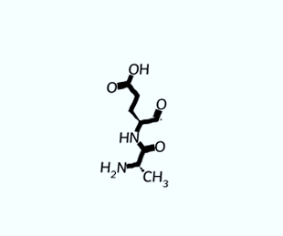 C[C@H](N)C(=O)N[C@H]([C]=O)CCC(=O)O